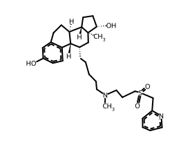 CN(CCCCC[C@H]1C[C@]2(C)[C@@H](O)CC[C@H]2[C@@H]2CCc3cc(O)ccc3[C@@H]12)CCCS(=O)(=O)Cc1ccccn1